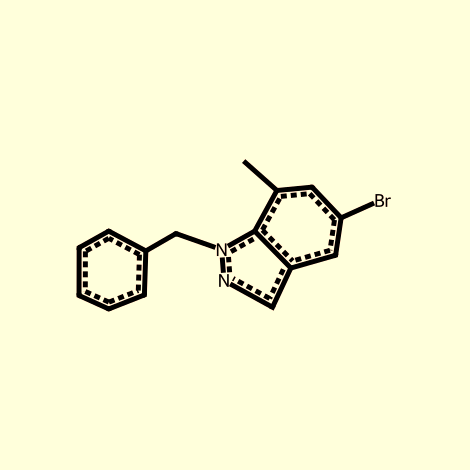 Cc1cc(Br)cc2cnn(Cc3ccccc3)c12